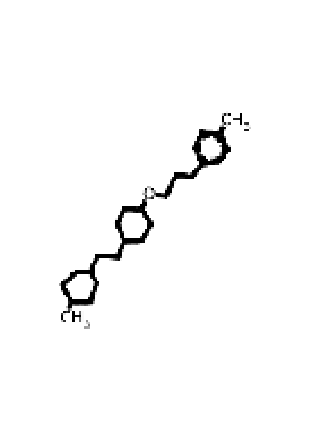 Cc1ccc(CCCOC2CCC(CCC3CCC(C)CC3)CC2)cc1